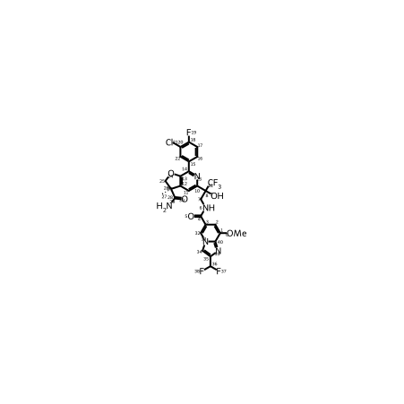 COc1cc(C(=O)NCC(O)(c2cc3c(c(-c4ccc(F)c(Cl)c4)n2)OC[C@]3(C)C(N)=O)C(F)(F)F)cn2cc(C(F)F)nc12